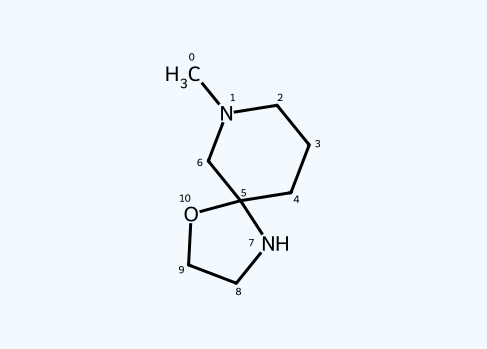 CN1CCCC2(C1)NCCO2